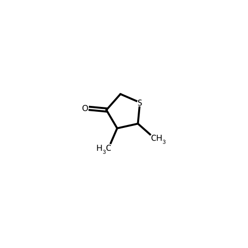 CC1SCC(=O)C1C